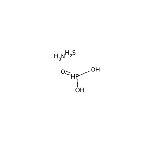 N.O=[PH](O)O.S